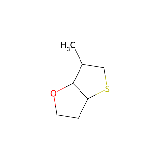 CC1CSC2CCOC12